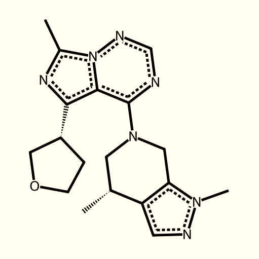 Cc1nc([C@@H]2CCOC2)c2c(N3Cc4c(cnn4C)[C@H](C)C3)ncnn12